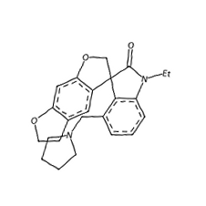 CCN1C(=O)C2(COc3cc4c(cc32)CCO4)c2c(CN3CCCC3)cccc21